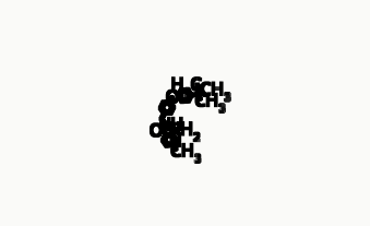 Cc1ccc(C(=O)NCc2ccc(Oc3ccc(C(C)C(C)C)cc3)cc2)c(N)n1